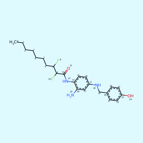 CCCCCCCC(F)C(F)C(=O)Nc1ccc(NCc2ccc(O)cc2)cc1N